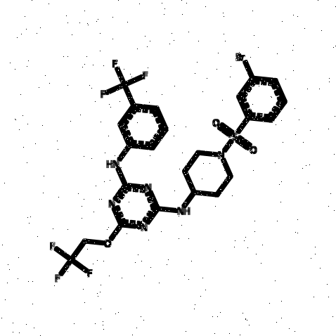 O=S(=O)(c1cccc(Br)c1)N1CCC(Nc2nc(Nc3cccc(C(F)(F)F)c3)nc(OCC(F)(F)F)n2)CC1